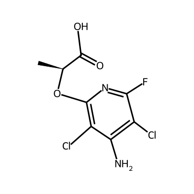 C[C@H](Oc1nc(F)c(Cl)c(N)c1Cl)C(=O)O